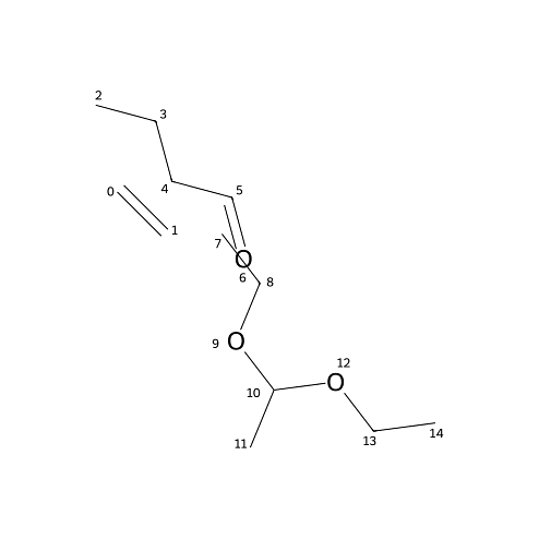 C=C.CCCC=O.CCOC(C)OCC